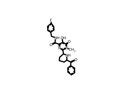 Cn1c(C2CCCC(C(=O)c3ccccc3)N2)nc(C(=O)NCc2ccc(F)cc2)c(O)c1=O